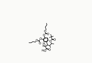 CCCCOC(=O)Oc1ccc(C(C(C)C(C)OC(=O)C(C)(C)C)[C@H](N)C(=O)O)cc1OC(=O)OCCCC